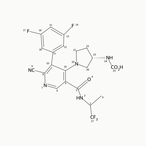 CC(NC(=O)c1cnc(C#N)c(-c2cc(F)cc(F)c2)c1N1CC[C@H](NC(=O)O)C1)C(F)(F)F